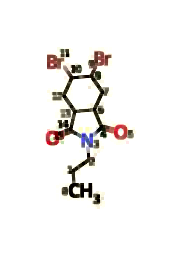 CCCN1C(=O)C2CC(Br)C(Br)CC2C1=O